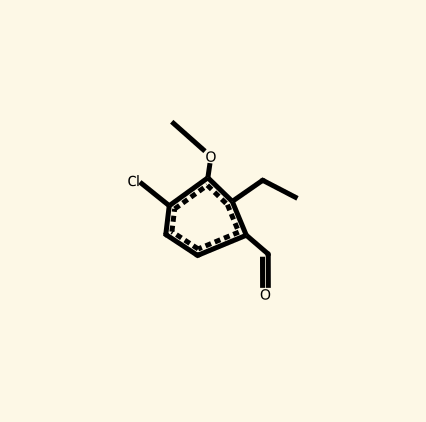 CCc1c(C=O)ccc(Cl)c1OC